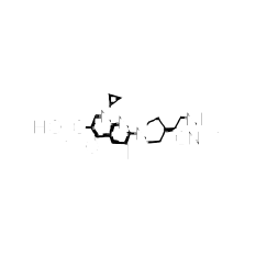 N#CC(CN)=C1CCN(c2nc3c(cc2F)c(=O)c(C(=O)O)cn3C2CC2)CC1